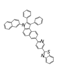 c1ccc(-c2c(-c3ccccc3)n(-c3ccc4ccccc4c3)c3ccc4cc(-c5ccc(-c6nc7ccccc7s6)cn5)ccc4c23)cc1